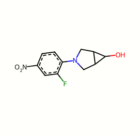 O=[N+]([O-])c1ccc(N2CC3C(O)C3C2)c(F)c1